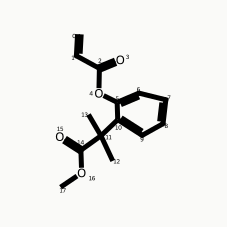 C=CC(=O)Oc1ccccc1C(C)(C)C(=O)OC